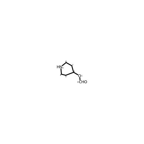 O=COC1CCNCC1